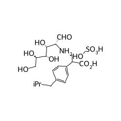 CC(C)Cc1ccc(C(C)C(=O)O)cc1.N[C@@H](C=O)[C@@H](O)[C@H](O)[C@H](O)CO.O=S(=O)(O)O